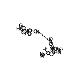 CNC(=O)N1CCc2c(c(N3CCCc4cc(-c5cnn(C)c5)c(C(F)F)cc43)nn2C2CCN(C(=O)CCCCCCCCN3CCC(c4ccc5c6c(cccc46)C(=O)N5C4CCC(=O)NC4=O)CC3)CC2)C1